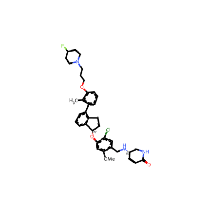 COc1cc(O[C@H]2CCc3c(-c4cccc(OCCCN5CCC(F)CC5)c4C)cccc32)c(Cl)cc1CN[C@H]1CCC(=O)NC1